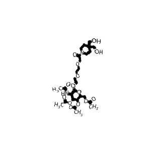 CC(=O)NC1C(OCCOCCOCC(=O)N2CCC(CO)(CO)CC2)OC(COC(C)=O)C(OC(C)=O)C1OC(C)=O